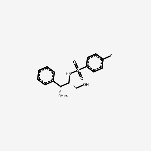 CCCCCC[C@H](c1ccccc1)[C@@H](CO)NS(=O)(=O)c1ccc(Cl)cc1